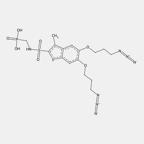 Cc1c(S(=O)(=O)NCP(=O)(O)O)sc2cc(OCCCN=[N+]=[N-])c(OCCCN=[N+]=[N-])cc12